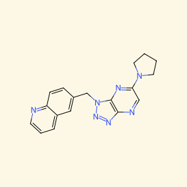 c1cnc2ccc(Cn3nnc4ncc(N5CCCC5)nc43)cc2c1